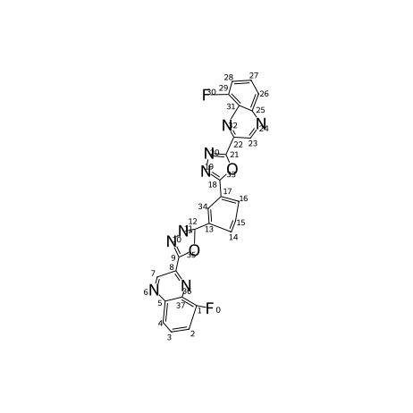 Fc1cccc2ncc(-c3nnc(-c4cccc(-c5nnc(-c6cnc7cccc(F)c7n6)o5)c4)o3)nc12